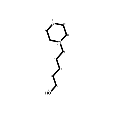 OCCCCCN1CCSCC1